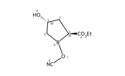 CCOC(=O)[C@@H]1C[C@@H](O)CB1OC#N